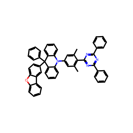 Cc1cc(N2c3ccccc3C(c3ccccc3)(c3ccc4oc5ccccc5c4c3)c3ccccc32)cc(C)c1-c1nc(-c2ccccc2)nc(-c2ccccc2)n1